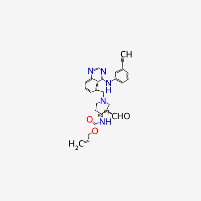 C#Cc1cccc(Nc2ncnc3cccc(CN4CC[C@@H](NC(=O)OCC=C)[C@H](C=O)C4)c23)c1